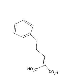 O=C(O)C(=CCCc1ccccc1)C(=O)O